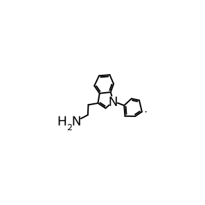 NCCc1cn(-c2cc[c]cc2)c2ccccc12